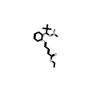 CCOC(=O)C=CC=C[C@@H]1CC=CC[C@H]1C(O[SiH](C)C)C(C)(C)C